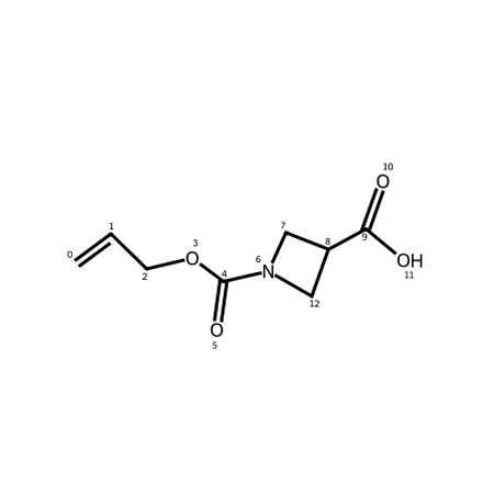 C=CCOC(=O)N1CC(C(=O)O)C1